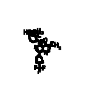 C[C@H]1[C@H](Nc2ncc(-c3ccc(C(F)(F)F)cc3)c3ncn(C)c(=O)c23)CCCS1(O)O